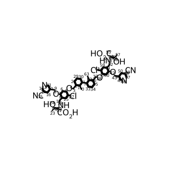 Cc1c(COc2cc(OCc3cncc(C#N)c3)c(CN[C@H](C(=O)O)[C@@H](C)O)cc2Cl)cccc1-c1cccc(COc2cc(OCc3cncc(C#N)c3)c(CN[C@H](C(=O)O)[C@@H](C)O)cc2Cl)c1C